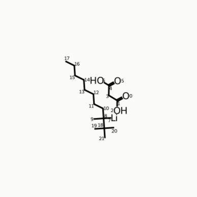 O=C(O)CC(=O)O.[Li][C](C)(CCCCCCCC)C(C)(C)C